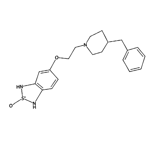 [O-][S+]1Nc2ccc(OCCN3CCC(Cc4ccccc4)CC3)cc2N1